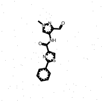 Cn1cc(NC(=O)c2csc(-c3ccccc3)n2)c(C=O)n1